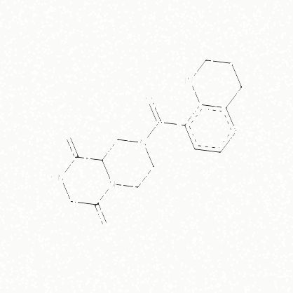 O=C1NCC(=O)N2CCN(C(=O)c3cccc4c3NCCC4)CC12